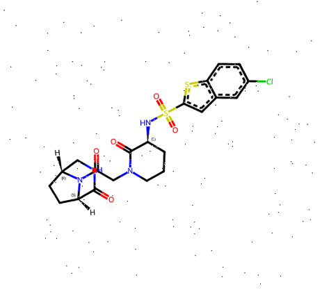 O=C1NC[C@H]2CC[C@@H]1N2C(=O)CN1CCC[C@H](NS(=O)(=O)c2cc3cc(Cl)ccc3s2)C1=O